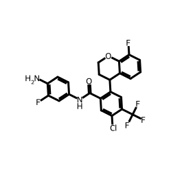 Nc1ccc(NC(=O)c2cc(Cl)c(C(F)(F)F)cc2C2CCOc3c(F)cccc32)cc1F